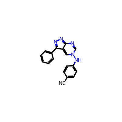 N#Cc1ccc(Nn2cnc3nnc(-c4ccccc4)c-3c2)cc1